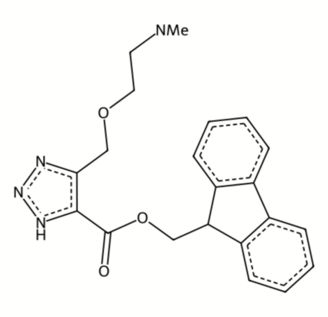 CNCCOCc1nn[nH]c1C(=O)OCC1c2ccccc2-c2ccccc21